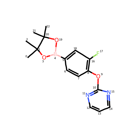 CC1(C)OB(c2ccc(Oc3ncccn3)c(F)c2)OC1(C)C